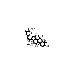 COC(=O)C(C)CC(=O)/C=C(/C)C1CC(=O)[C@@]2(C)C3=C(C(=O)[C@@H](OC(C)=O)[C@]12C)[C@@]1(C)CC[C@H](O)C(C)(C)[C@@H]1C[C@@H]3O